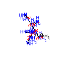 CC(C)(C)C(=O)NC(CCCCNC(=O)C(CCCCNC(=O)C(CCCCNC(=O)C(N)Cc1c[nH]cn1)NC(=O)C(N)Cc1c[nH]cn1)NC(=O)C(CCCCNC(=O)C(N)Cc1c[nH]cn1)NC(=O)C(N)Cc1c[nH]cn1)C(N)=O